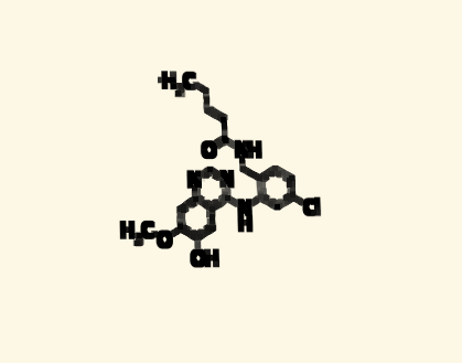 [CH2]CC=CC(=O)NCc1ccc(Cl)cc1Nc1ncnc2cc(OC)c(O)cc12